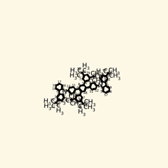 CC(C)(C)c1cc(-c2cc(-c3ccc(-n4c5ccccc5c5cc(C(C)(C)C)ccc54)cc3)c(-c3cc(C(C)(C)C)cc(C(C)(C)C)c3)cc2-c2ccc(-n3c4ccccc4c4cc(C(C)(C)C)ccc43)cc2)cc(C(C)(C)C)c1